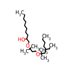 CCCCCCCCC(O)COC(C)(C)CCOC(C)(C)CC(CC)CCCC